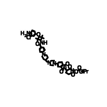 CC(C)OC(=O)OCN1C(=O)CCC(N2C(=O)c3ccc(N4CCN(CC5CCN(c6ccc(C(=O)N[C@H]7C(C)(C)[C@H](Oc8ccc(N)c(Cl)c8)C7(C)C)cc6)CC5)CC4)cc3C2=O)C1=O